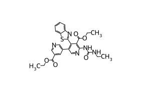 CCNC(=O)Nc1ncc(-c2cncc(C(=O)OCC)c2)c(-c2nc3ccccc3s2)c1C(=O)OCC